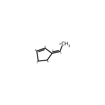 C/C=C1\C=CCC1